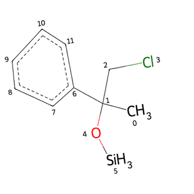 CC(CCl)(O[SiH3])c1ccccc1